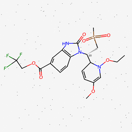 CCON1C=C(OC)C=CC1[C@@H](CS(C)(=O)=O)n1c(=O)[nH]c2cc(C(=O)OCC(F)(F)F)ccc21